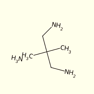 CC(C)(CN)CN.N